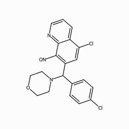 O=Nc1c(C(c2ccc(Cl)cc2)N2CCOCC2)cc(Cl)c2cccnc12